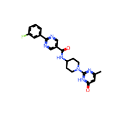 Cc1cc(=O)[nH]c(N2CCC(NC(=O)c3cnc(-c4cccc(F)c4)nc3)CC2)n1